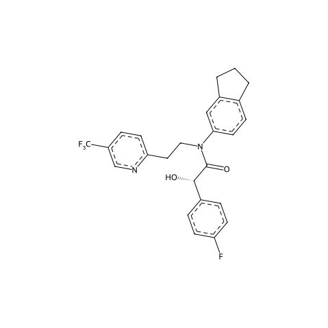 O=C([C@@H](O)c1ccc(F)cc1)N(CCc1ccc(C(F)(F)F)cn1)c1ccc2c(c1)CCC2